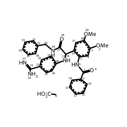 CC(=O)O.COc1cc(NC(=O)c2ccccc2)c(C(Nc2ccc(C(=N)N)cc2)C(=O)NCc2ccccc2)cc1OC